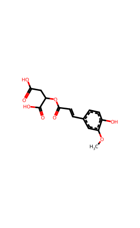 COc1cc(C=CC(=O)OC(CC(=O)O)C(=O)O)ccc1O